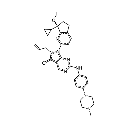 C=CCn1c(=O)c2cnc(Nc3ccc(N4CCN(C)CC4)cc3)nc2n1-c1ccc2c(n1)[C@](OI)(C1CC1)CC2